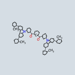 Cc1ccccc1-c1ccc2c(c1)c1cc(-c3ccccc3C)ccc1n2-c1cccc(C(=O)c2cccc(C(=O)c3cccc(-n4c5ccc(-c6ccccc6C)cc5c5cc(-c6ccccc6C)ccc54)c3)c2)c1